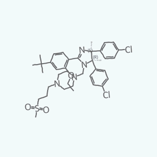 CCOc1cc(C(C)(C)C)ccc1C1=N[C@@](C)(c2ccc(Cl)cc2)[C@@](C)(c2ccc(Cl)cc2)N1CN1CCN(CCCS(C)(=O)=O)CC1